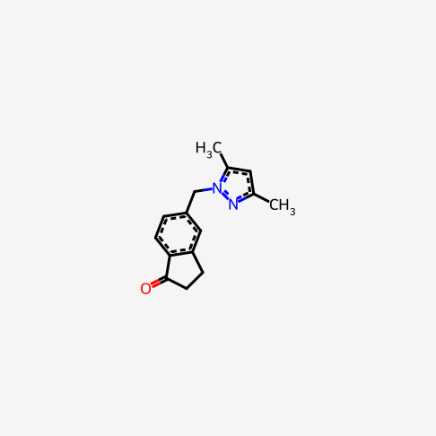 Cc1cc(C)n(Cc2ccc3c(c2)CCC3=O)n1